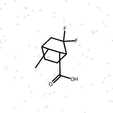 CC1C2CCC(C1C(=O)O)C(F)(F)C2